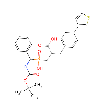 CC(C)(C)OC(=O)N[C@@H](c1ccccc1)P(=O)(O)CC(Cc1ccc(-c2ccsc2)cc1)C(=O)O